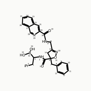 CC(C)CC(NC(=O)C1(Cc2ccccc2)CC(CNC(=O)c2cc3ccccc3cn2)=NO1)B(O)O